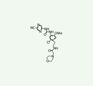 COc1cc(CCNC(=O)CN2CCOCC2)c(Cl)cc1NC(=O)Nc1cnc(C#N)cn1